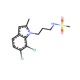 Cc1cc2ccc(Cl)c(Cl)c2n1CCCNS(C)(=O)=O